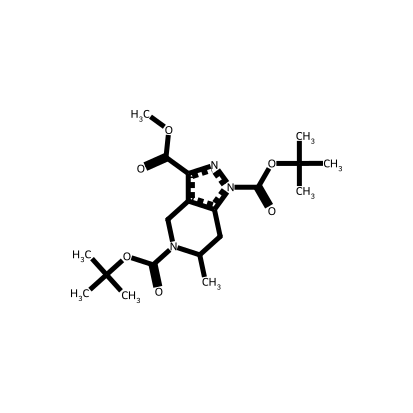 COC(=O)c1nn(C(=O)OC(C)(C)C)c2c1CN(C(=O)OC(C)(C)C)C(C)C2